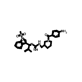 C=C(C)/C(=N\C(=N)NCC1CCCN(C(=O)c2ccc(N)cc2)C1)c1cn(S(C)(=O)=O)c2ccccc12